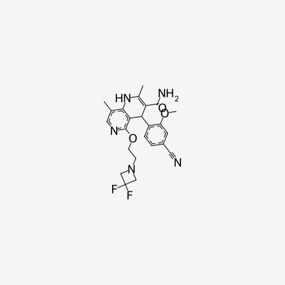 COc1cc(C#N)ccc1C1C(C(N)=O)=C(C)Nc2c(C)cnc(OCCN3CC(F)(F)C3)c21